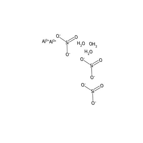 O.O.O.O=[Si]([O-])[O-].O=[Si]([O-])[O-].O=[Si]([O-])[O-].[Al+3].[Al+3]